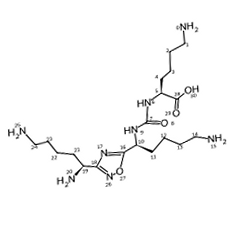 NCCCC[C@H](NC(=O)N[C@@H](CCCCN)c1nc([C@@H](N)CCCCN)no1)C(=O)O